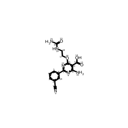 N#Cc1cccc(-c2nc(N)c(C(=O)O)c(OCCNC(N)=O)n2)c1